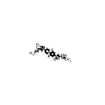 CON=C(C)c1cn(C2CCN(c3c(F)cc(N4C[C@H](CNC(C)=O)OC4=O)cc3F)CC2)nn1